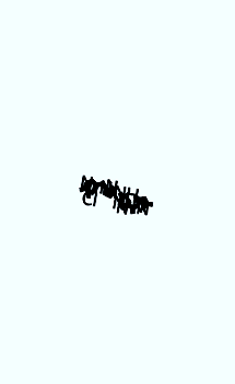 Cc1cc(C)n(C(C)c2nnc(Nc3ccn(Cc4cnc(C)c(Cl)c4)n3)s2)n1